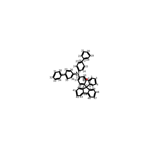 Brc1ccccc1C1(c2ccc(N(c3ccc(-c4ccccc4)cc3)c3ccc(-c4ccccc4)cc3)cc2)c2ccccc2-c2ccccc21